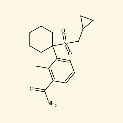 Cc1c(C(N)=O)cccc1C1(S(=O)(=O)CC2CC2)CCCCC1